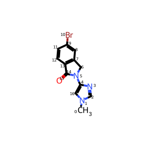 Cn1cnc(N2Cc3cc(Br)ccc3C2=O)c1